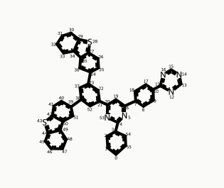 c1ccc(-c2nc(-c3ccc(-c4ncncn4)cc3)cc(-c3cc(-c4ccc5sc6ccccc6c5c4)cc(-c4ccc5sc6ccccc6c5c4)c3)n2)cc1